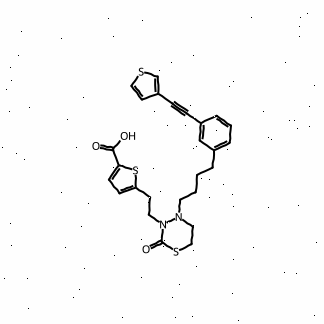 O=C(O)c1ccc(CCN2C(=O)SCCN2CCCCc2cccc(C#Cc3ccsc3)c2)s1